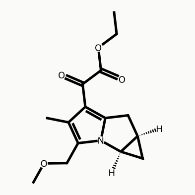 CCOC(=O)C(=O)c1c(C)c(COC)n2c1C[C@H]1C[C@H]12